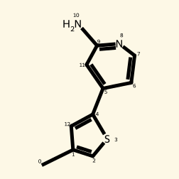 Cc1csc(-c2ccnc(N)c2)c1